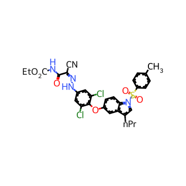 CCCc1cn(S(=O)(=O)c2ccc(C)cc2)c2ccc(Oc3c(Cl)cc(NN=C(C#N)C(=O)NC(=O)OCC)cc3Cl)cc12